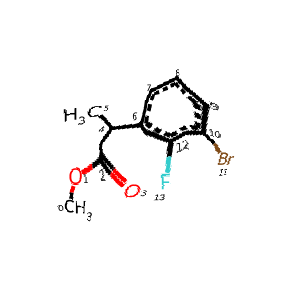 COC(=O)C(C)c1cccc(Br)c1F